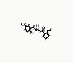 C=Cc1ccccc1C(=O)CNN=Cc1cc(Cl)ccc1Br